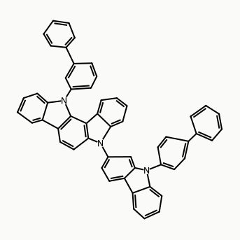 c1ccc(-c2ccc(-n3c4ccccc4c4ccc(-n5c6ccccc6c6c5ccc5c7ccccc7n(-c7cccc(-c8ccccc8)c7)c56)cc43)cc2)cc1